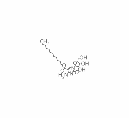 CCCCCCCCCCCCOC(=O)c1cn([C@@H]2O[C@H](CO)[C@@H](O)[C@@H]2O)c(=O)nc1N